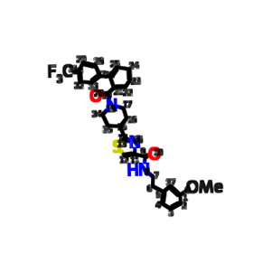 COc1cccc(CCNC(=O)c2csc(C3CCN(C(=O)c4ccccc4-c4ccc(C(F)(F)F)cc4)CC3)n2)c1